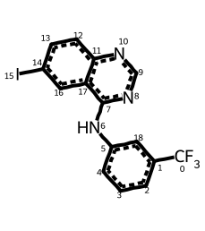 FC(F)(F)c1cccc(Nc2ncnc3ccc(I)cc23)c1